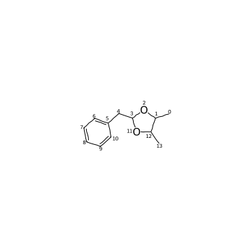 CC1OC(Cc2ccccc2)OC1C